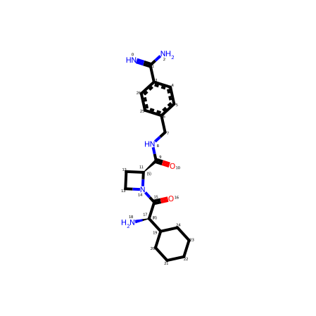 N=C(N)c1ccc(CNC(=O)[C@@H]2CCN2C(=O)[C@H](N)C2CCCCC2)cc1